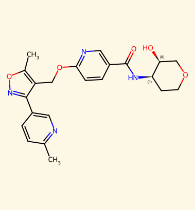 Cc1ccc(-c2noc(C)c2COc2ccc(C(=O)N[C@@H]3CCOC[C@@H]3O)cn2)cn1